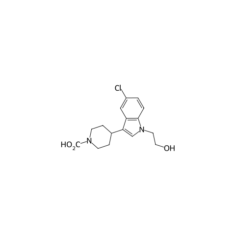 O=C(O)N1CCC(c2cn(CCO)c3ccc(Cl)cc23)CC1